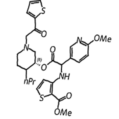 CCCC1CCN(CC(=O)c2cccs2)C[C@@H]1OC(=O)C(Nc1ccsc1C(=O)OC)c1ccc(OC)nc1